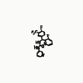 O=C(Nc1cccnc1)NC(c1ccc(F)c(C(F)(F)F)c1)c1ncccc1F